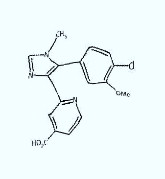 COc1cc(-c2c(-c3cc(C(=O)O)ccn3)ncn2C)ccc1Cl